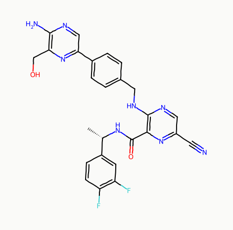 C[C@H](NC(=O)c1nc(C#N)cnc1NCc1ccc(-c2cnc(N)c(CO)n2)cc1)c1ccc(F)c(F)c1